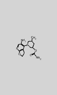 CC1CC(OC(N)=O)CN(c2c(N)cnc3c2CCO3)C1